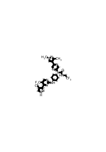 Cc1nn(C)cc1-c1cnc(N(C(=O)NCC(F)(F)F)[C@H]2CC[C@H](Nc3ncc(C(F)(F)F)c(-c4n[nH]cc4Cl)n3)CC2)cn1